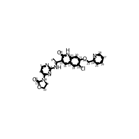 C[C@H](Nc1nccc(N2CCOC2=O)n1)c1cc2cc(Cl)c(OCc3ccccn3)cc2[nH]c1=O